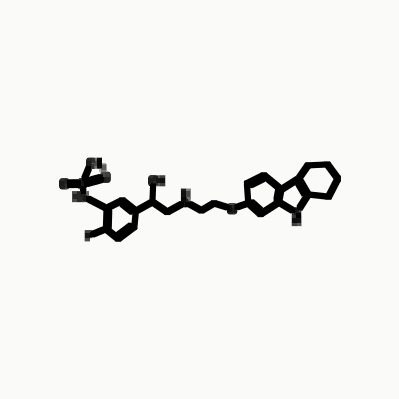 CS(=O)(=O)Nc1cc(C(O)CNCCOc2ccc3c4c([nH]c3c2)CCCC4)ccc1F